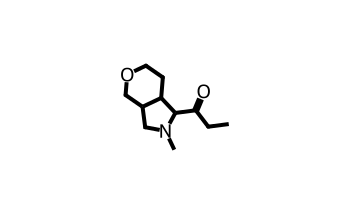 CCC(=O)C1C2CCOCC2CN1C